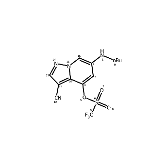 CCCCNc1cc(OS(=O)(=O)C(F)(F)F)c2c(C#N)cnn2c1